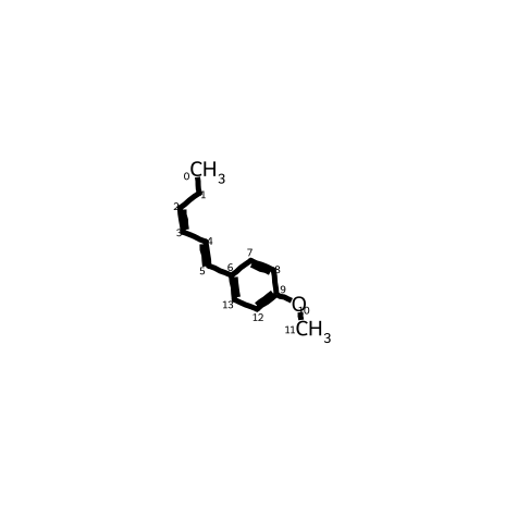 CC/C=C\C=C\c1ccc(OC)cc1